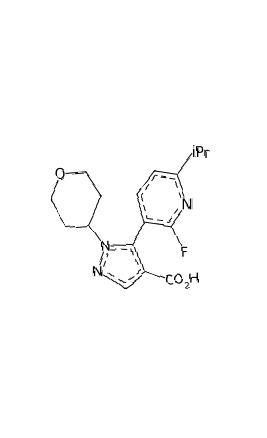 CC(C)c1ccc(-c2c(C(=O)O)cnn2C2CCOCC2)c(F)n1